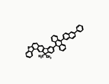 CC1(C)c2ccc(-c3c4ccccc4c(-c4ccc5cc(-c6ccccc6)ccc5c4)c4ccccc34)cc2-c2cc3ccc4sc5ccccc5c4c3cc21